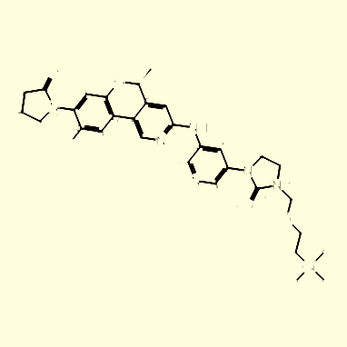 C[C@@H]1Oc2cc(N3CCCC3=O)c(F)cc2-c2cnc(Nc3cncc(N4CCN(COCC[Si](C)(C)C)C4=O)c3)cc21